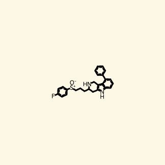 [O-][S+](CCCC1Cc2[nH]c3cccc(-c4ccccc4)c3c2CN1)c1ccc(F)cc1